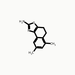 Cc1cc(C)c2c(c1)-c1nc(N)sc1CC2